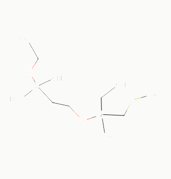 CCO[Si](C)(C)CCO[Si](C)(CC)CSC